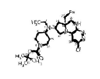 CCN(C1CCN(C(=O)OC(C)(C)C)CC1)[C@H]1CN2c3cc(Cl)nnc3NC[C@@]2(CF)C1